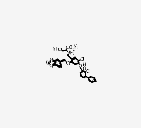 O=C(O)C(CO)NCc1cc(Cl)c(OCC2(O)C=CC=C(c3ccccc3)C2Cl)cc1OCc1ccc2nonc2c1